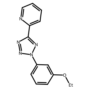 CCOc1cccc(-n2nnc(-c3ccccn3)n2)c1